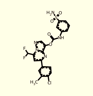 Cc1cc(-c2cc(C(F)F)n3ncc(OC(=O)Nc4cccc(S(N)(=O)=O)c4)c3n2)ccc1Cl